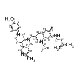 Cc1ccc(N2CCC[C@H](N(CC3=CN(C4CC4)c4cc(NCCN(C)C)c(F)cc4C3)Cc3ccnc(C)c3)C2)cn1